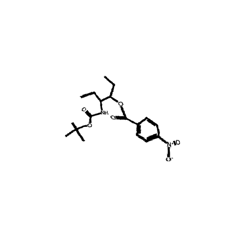 CCC(NC(=O)OC(C)(C)C)C(CC)OC(=O)c1ccc([N+](=O)[O-])cc1